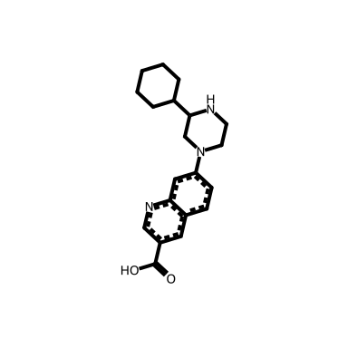 O=C(O)c1cnc2cc(N3CCNC(C4CCCCC4)C3)ccc2c1